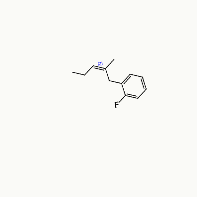 CC/C=C(/C)Cc1ccccc1F